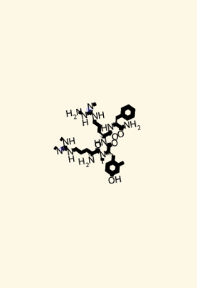 C/N=C(\NC)NCCC[C@H](N)C(=O)N(I)[C@@H](Cc1ccc(O)cc1C)C(=O)N[C@@H](CCCN/C(=N\C)NN)C(=O)N[C@@H](Cc1ccccc1)C(N)=O